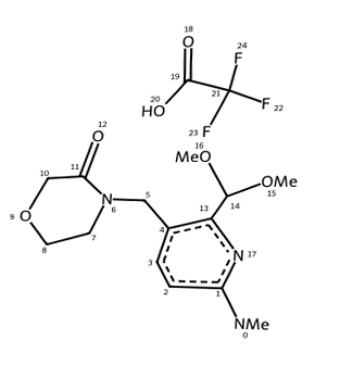 CNc1ccc(CN2CCOCC2=O)c(C(OC)OC)n1.O=C(O)C(F)(F)F